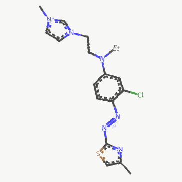 CCN(CCn1cc[n+](C)c1)c1ccc(/N=N/c2nc(C)cs2)c(Cl)c1